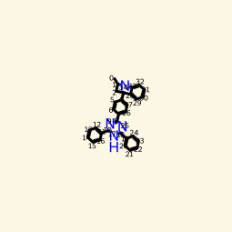 CC1CC2(c3ccc(C4=NC(c5ccccc5)NC(c5ccccc5)=N4)cc3)c3ccccc3N12